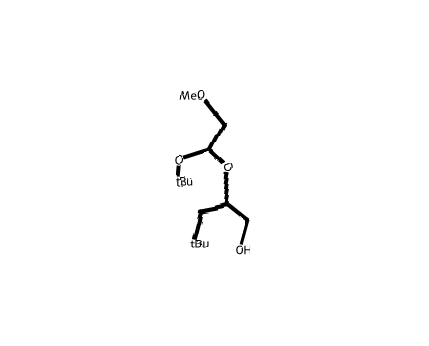 COCC(OC(CO)CC(C)(C)C)OC(C)(C)C